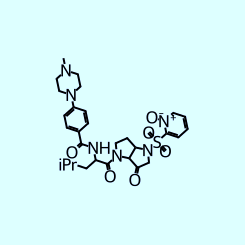 CC(C)CC(NC(=O)c1ccc(N2CCN(C)CC2)cc1)C(=O)N1CCC2C1C(=O)CN2S(=O)(=O)c1cccc[n+]1[O-]